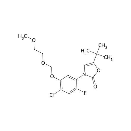 COCCOCOc1cc(-n2cc(C(C)(C)C)oc2=O)c(F)cc1Cl